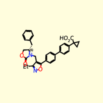 CCc1noc(-c2ccc(-c3ccc(C4(C(=O)O)CC4)cc3)cc2)c1CN1C(=O)OC[C@@H]1Cc1ccccc1